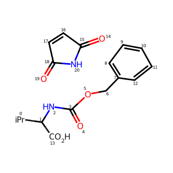 CC(C)C(NC(=O)OCc1ccccc1)C(=O)O.O=C1C=CC(=O)N1